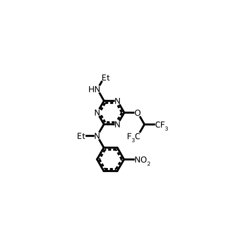 CCNc1nc(OC(C(F)(F)F)C(F)(F)F)nc(N(CC)c2cccc([N+](=O)[O-])c2)n1